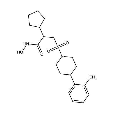 Cc1ccccc1C1CCN(S(=O)(=O)CC(C(=O)NO)C2CCCC2)CC1